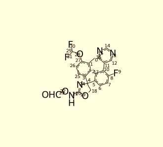 Cc1cc(C2(c3ccc(F)c(-c4cncnc4)c3)COC(NOC=O)=N2)ccc1OC(F)F